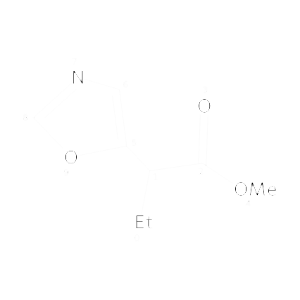 CCC(C(=O)OC)c1cnco1